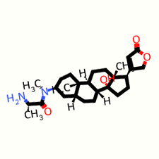 C[C@H](N)C(=O)N(C)[C@H]1CC[C@@]2(C)[C@H](CC[C@@H]3[C@@H]2CC[C@]2(C)[C@@H](C4=CC(=O)OC4)CC[C@]32O)C1